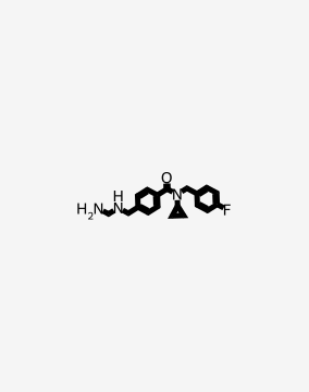 NCNCc1ccc(C(=O)N(Cc2ccc(F)cc2)C2CC2)cc1